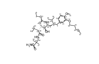 CCOC(=O)N[C@@H](C[C@H](Cc1ccc(OC)c(OCCCOC)c1)C(C)C)[C@@H](O)C[C@H](C(=O)NCC(C)(C)C(N)=O)C(C)C